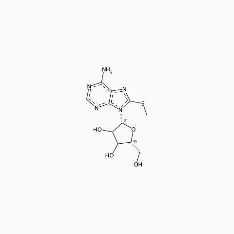 CSc1nc2c(N)ncnc2n1[C@@H]1O[C@H](CO)C(O)C1O